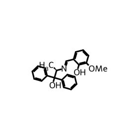 COc1cccc(C=N[C@H](C)C(O)(c2ccccc2)c2ccccc2)c1O